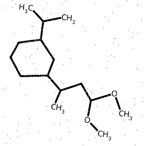 COC(CC(C)C1CCCC(C(C)C)C1)OC